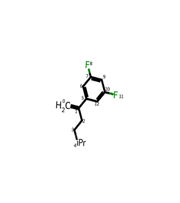 C=C(CCC(C)C)c1cc(F)cc(F)c1